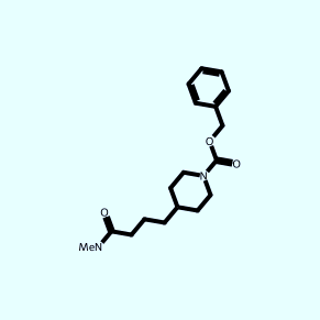 CNC(=O)CCCC1CCN(C(=O)OCc2ccccc2)CC1